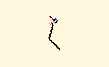 CCCCCCCC/C=C\CCCCCCCC(=O)N1CCN=C1OCC